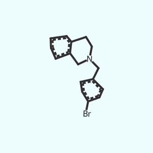 Brc1ccc(CN2CCc3ccccc3C2)cc1